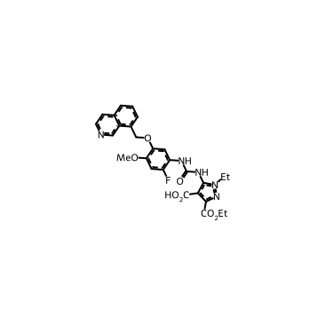 CCOC(=O)c1nn(CC)c(NC(=O)Nc2cc(OCc3cccc4ccncc34)c(OC)cc2F)c1C(=O)O